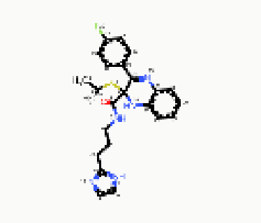 CC(C)SC1(C(=O)NCCCc2ncc[nH]2)Nc2ccccc2N=C1c1ccc(F)cc1